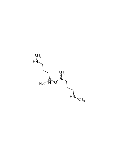 CNCCC[SiH](C)O[SiH](C)CCCNC